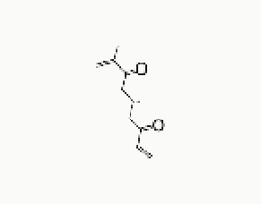 C=CC(=O)C[CH]CC(=O)C(=C)C